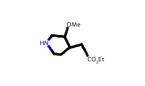 CCOC(=O)CC1CCNCC1OC